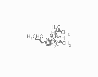 CC[C@H](O)Cn1ccc(S(=O)(=O)N(PC(C)C)PC(C)C)n1